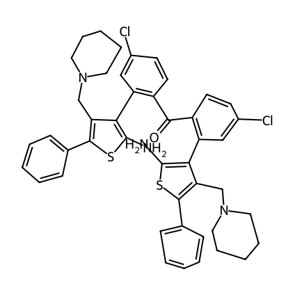 Nc1sc(-c2ccccc2)c(CN2CCCCC2)c1-c1cc(Cl)ccc1C(=O)c1ccc(Cl)cc1-c1c(N)sc(-c2ccccc2)c1CN1CCCCC1